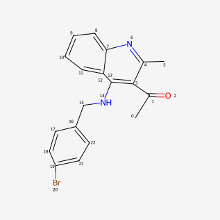 CC(=O)c1c(C)nc2ccccc2c1NCc1ccc(Br)cc1